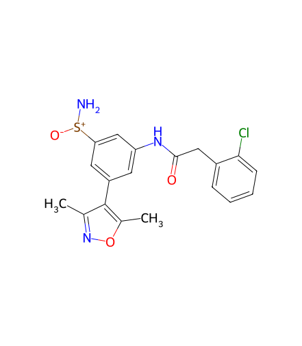 Cc1noc(C)c1-c1cc(NC(=O)Cc2ccccc2Cl)cc([S+](N)[O-])c1